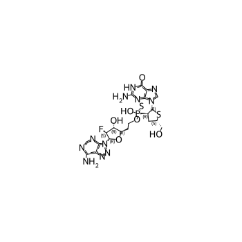 Nc1nc2c(ncn2[C@@H]2S[C@H](CO)C[C@H]2P(O)(=S)OCC[C@H]2O[C@@H](n3nnc4c(N)ncnc43)[C@@H](F)[C@@H]2O)c(=O)[nH]1